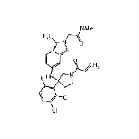 C=CC(=O)N1CCC(Nc2ccc3c(C(F)(F)F)n(CC(=O)NC)nc3c2)(c2c(F)ccc(Cl)c2Cl)C1